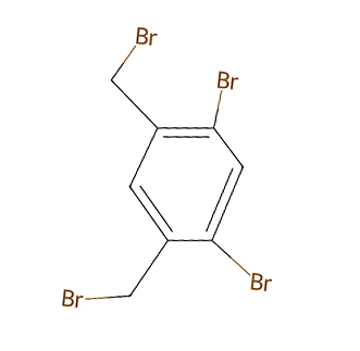 BrCc1cc(CBr)c(Br)cc1Br